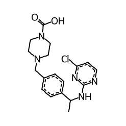 CC(Nc1nccc(Cl)n1)c1ccc(CN2CCN(C(=O)O)CC2)cc1